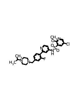 COc1ncc(Cl)cc1S(=O)(=O)Nc1ccnc(-c2ccc(CN3CCN(C(C)C)CC3)cc2F)c1